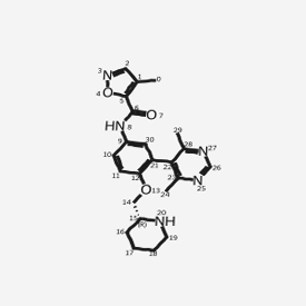 Cc1cnoc1C(=O)Nc1ccc(OC[C@H]2CCCCN2)c(-c2c(C)ncnc2C)c1